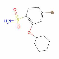 NS(=O)(=O)c1ccc(Br)cc1OC1CCCCC1